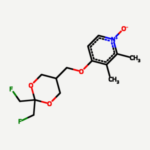 Cc1c(OCC2COC(CF)(CF)OC2)cc[n+]([O-])c1C